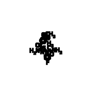 C[C@H](C(N)=O)N(c1ccc(F)cc1)c1nc(N)c(C(=O)c2ccc(S(C)(=O)=O)cc2)s1